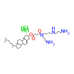 CC(C)CCCC(C)C1CCC2C3CC=C4CC(OC(=O)CCC(=O)N(CCCN)CCCCNCCCN)CCC4(C)C3CCC12C.Cl.Cl.Cl